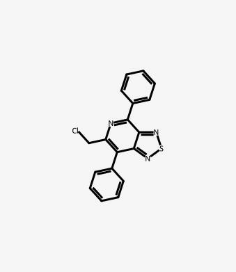 ClCc1nc(-c2ccccc2)c2nsnc2c1-c1ccccc1